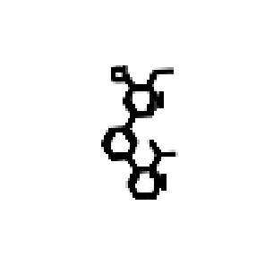 CCc1ncc(-c2cccc(-c3cccnc3C(C)C)c2)cc1Cl